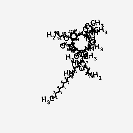 CCCCCCCCCCNCCC(=O)N[C@@H](CCCCN)C(C)N(C)[C@@H]1C(=O)N[C@@H](C)C(=O)N[C@H](C(=O)N[C@@H](C)C(C)=O)Cc2ccc(OCCN)c(c2)-c2cc1ccc2C=O